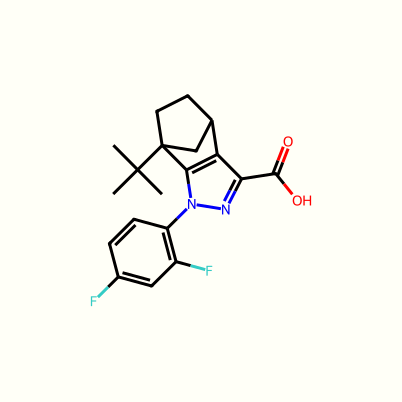 CC(C)(C)C12CCC(C1)c1c(C(=O)O)nn(-c3ccc(F)cc3F)c12